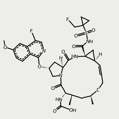 COc1ccc2c(O[C@@H]3C[C@H]4C(=O)N[C@]5(C(=O)NS(=O)(=O)C6(CF)CC6)C[C@H]5/C=C\CC[C@@H](C)C[C@@H](C)[C@H](NC(=O)O)C(=O)N4C3)ncc(F)c2c1